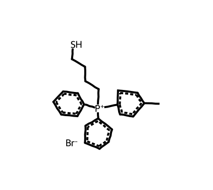 Cc1ccc([P+](CCCCS)(c2ccccc2)c2ccccc2)cc1.[Br-]